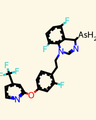 Fc1cc(Oc2cc(C(F)(F)F)ccn2)ccc1CCN1C=NC([AsH2])c2c(F)ccc(F)c21